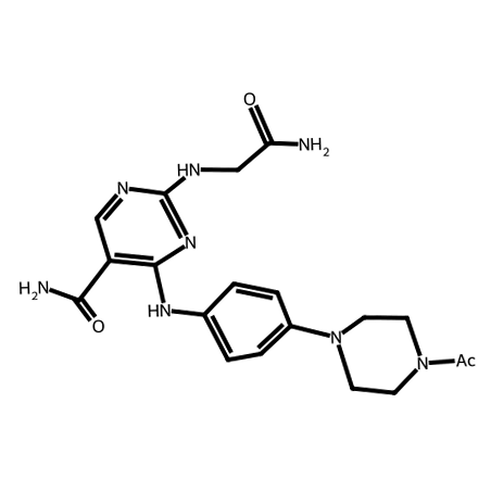 CC(=O)N1CCN(c2ccc(Nc3nc(NCC(N)=O)ncc3C(N)=O)cc2)CC1